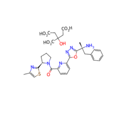 Cc1csc([C@H]2CCCN2C(=O)c2cccc(-c3nnc([C@](C)(N)Cc4ccccc4)o3)n2)n1.O=C(O)CC(O)(CC(=O)O)C(=O)O